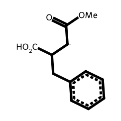 COC(=O)[CH]C(Cc1ccccc1)C(=O)O